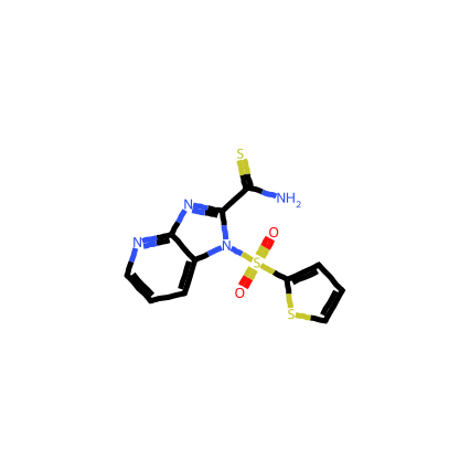 NC(=S)c1nc2ncccc2n1S(=O)(=O)c1cccs1